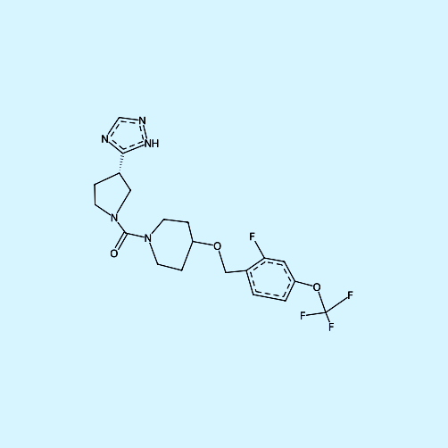 O=C(N1CCC(OCc2ccc(OC(F)(F)F)cc2F)CC1)N1CC[C@H](c2ncn[nH]2)C1